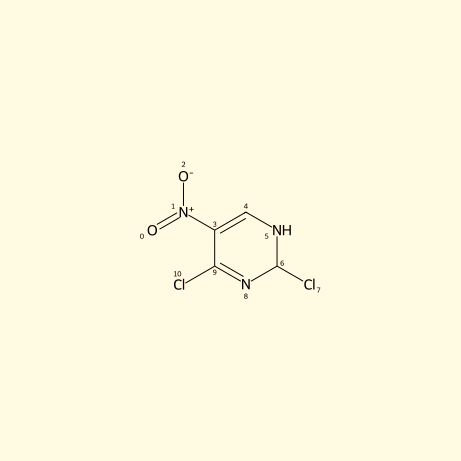 O=[N+]([O-])C1=CNC(Cl)N=C1Cl